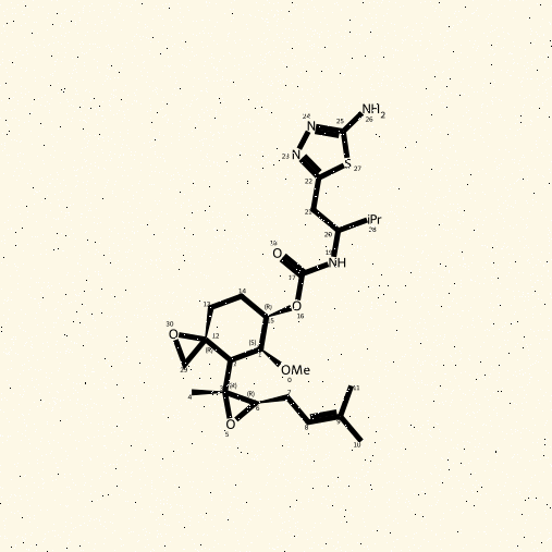 CO[C@H]1C([C@@]2(C)O[C@@H]2CC=C(C)C)[C@]2(CC[C@H]1OC(=O)NC(Cc1nnc(N)s1)C(C)C)CO2